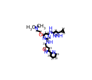 CN(C)CCOc1cc(Nc2cc(C3CC3)[nH]n2)nc(NCC2CC(c3ccccn3)=NO2)n1